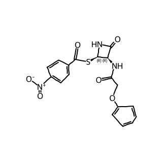 O=C(COc1ccccc1)N[C@@H]1C(=O)N[C@@H]1SC(=O)c1ccc([N+](=O)[O-])cc1